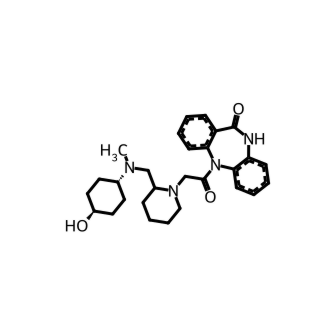 CN(CC1CCCCN1CC(=O)N1c2ccccc2NC(=O)c2ccccc21)[C@H]1CC[C@H](O)CC1